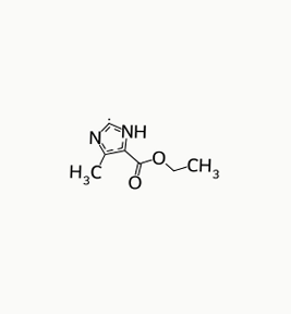 CCOC(=O)c1[nH][c]nc1C